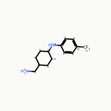 NCC1CCC(Nc2ccc(C(F)(F)F)cc2)CC1